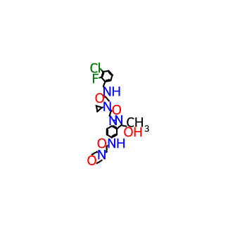 CC(O)c1nn(CC(=O)N(CC(=O)NCc2cccc(Cl)c2F)C2CC2)c2ccc(NC(=O)CN3CCOCC3)cc12